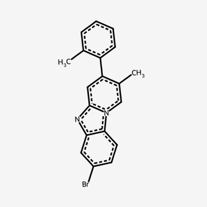 Cc1ccccc1-c1cc2nc3cc(Br)ccc3n2cc1C